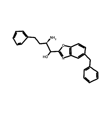 N[C@H](CCc1ccccc1)C(O)c1nc2cc(Cc3ccccc3)ccc2o1